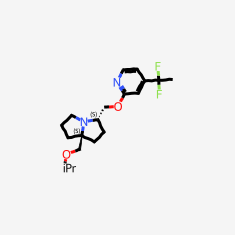 CC(C)OC[C@@]12CCCN1[C@H](COc1cc(C(C)(F)F)ccn1)CC2